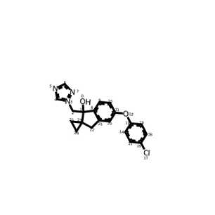 OC1(Cn2cncn2)c2ccc(Oc3ccc(Cl)cc3)cc2CC12CC2